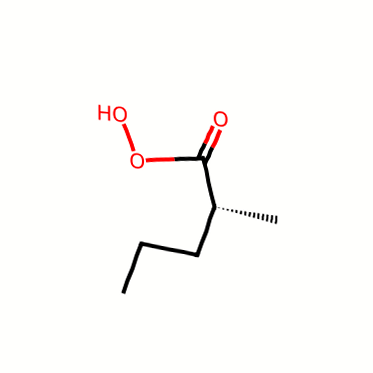 CCC[C@@H](C)C(=O)OO